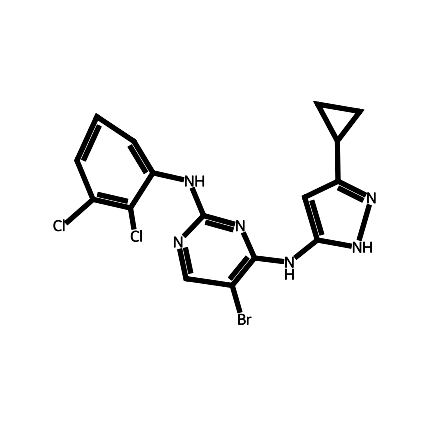 Clc1cccc(Nc2ncc(Br)c(Nc3cc(C4CC4)n[nH]3)n2)c1Cl